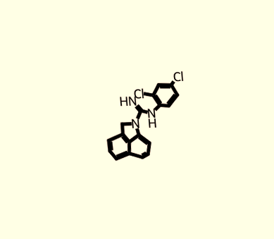 N=C(Nc1ccc(Cl)cc1Cl)N1Cc2cccc3cccc1c23